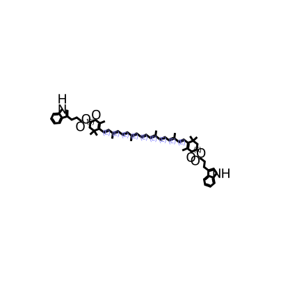 CC1=C(/C=C/C(C)=C/C=C/C(C)=C/C=C/C=C(C)/C=C/C=C(C)/C=C/C2=C(C)C(=O)[C@@H](OC(=O)CCc3c[nH]c4ccccc34)CC2(C)C)C(C)(C)C[C@H](OC(=O)CCc2c[nH]c3ccccc23)C1=O